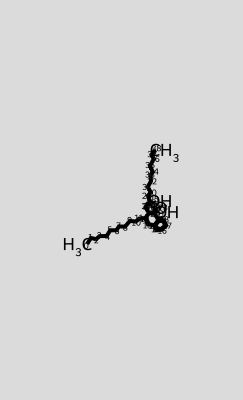 CCCCCCCCCCCCC1=Cc2ccccc2C(O)(S(=O)(=O)O)C1CCCCCCCCCCCC